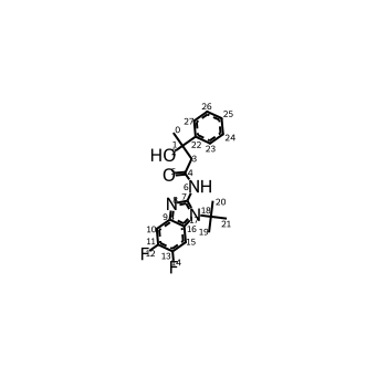 CC(O)(CC(=O)Nc1nc2cc(F)c(F)cc2n1C(C)(C)C)c1ccccc1